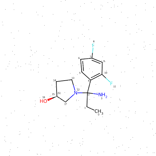 CCC(N)(c1ccc(F)cc1F)N1CC[C@H](O)C1